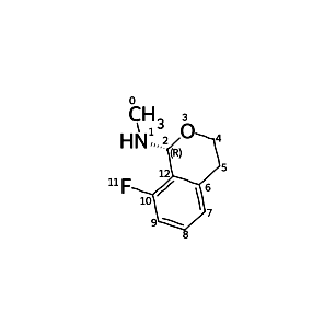 CN[C@@H]1OCCc2cccc(F)c21